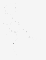 Cc1c(C2CCCCC2)cc(CN=C=O)c(CN=C=O)c1C